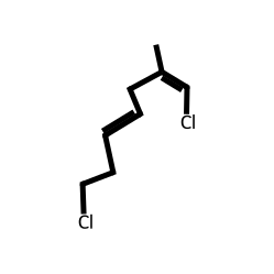 CC(=CCl)CC=CCCCl